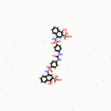 O=C(Nc1ccc(S(=O)(=O)Nc2cc(S(=O)(=O)O)c(O)c3ccccc23)cc1)Nc1ccc(S(=O)(=O)Nc2cc(S(=O)(=O)O)c(O)c3ccccc23)cc1